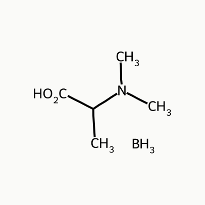 B.CC(C(=O)O)N(C)C